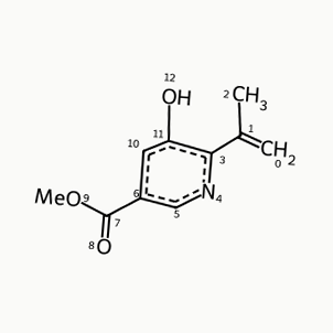 C=C(C)c1ncc(C(=O)OC)cc1O